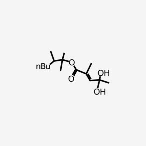 CCCCC(C)C(C)(C)OC(=O)/C(C)=C/C(C)(O)O